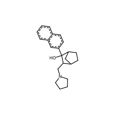 OC1(c2ccc3ccccc3c2)C2CCC(C2)C1CN1CCCC1